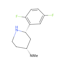 CN[C@@H]1CCN[C@H](c2cc(F)ccc2F)C1